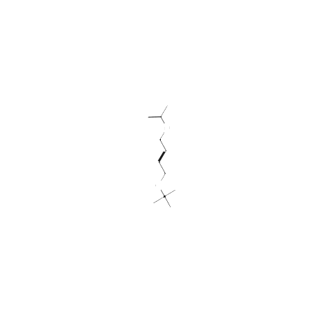 CC(C)OC/C=C/COC(C)(C)C